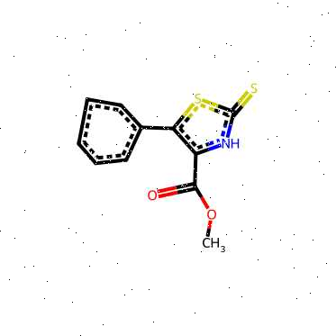 COC(=O)c1[nH]c(=S)sc1-c1ccccc1